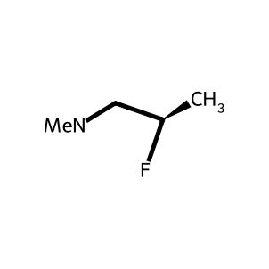 CNC[C@@H](C)F